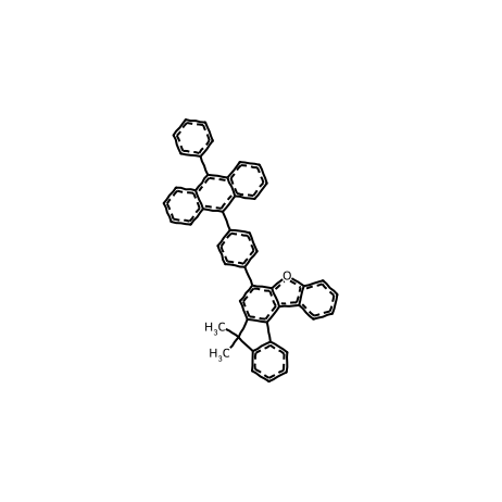 CC1(C)c2ccccc2-c2c1cc(-c1ccc(-c3c4ccccc4c(-c4ccccc4)c4ccccc34)cc1)c1oc3ccccc3c21